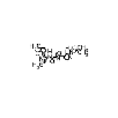 C[C@H]1CCN(c2nn(C)cc2NC(=O)c2coc(-c3ccnc(NCC(C)(C)C)c3)n2)C1=O